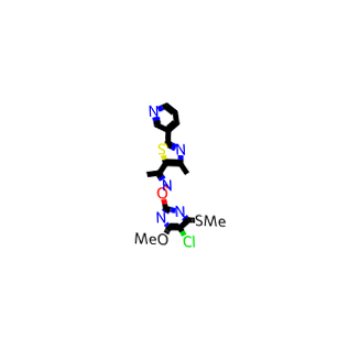 COc1nc(O/N=C(\C)c2sc(-c3cccnc3)nc2C)nc(SC)c1Cl